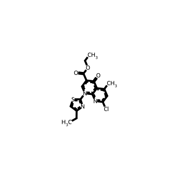 CCOC(=O)c1cn(-c2nc(CC)cs2)c2nc(Cl)cc(C)c2c1=O